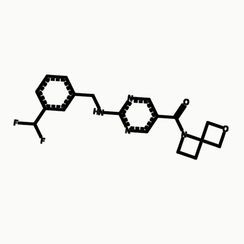 O=C(c1cnc(NCc2cccc(C(F)F)c2)nc1)N1CCC12COC2